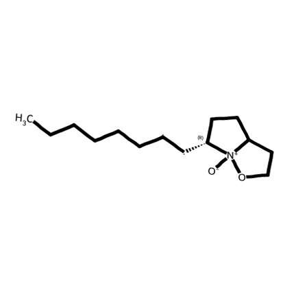 CCCCCC[CH][CH][C@@H]1CCC2CCO[N+]21[O-]